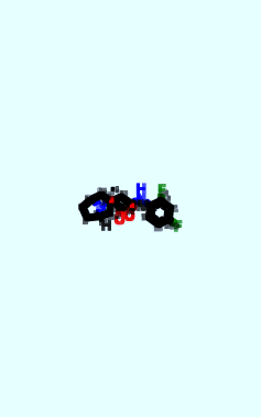 COC(=O)[C@@H](C)N1C2CC[C@H]1CC(CC(=O)Nc1ccc(F)cc1F)C2